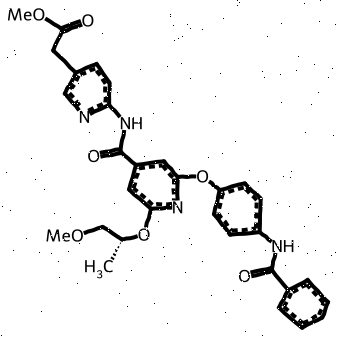 COC[C@@H](C)Oc1cc(C(=O)Nc2ccc(CC(=O)OC)cn2)cc(Oc2ccc(NC(=O)c3ccccc3)cc2)n1